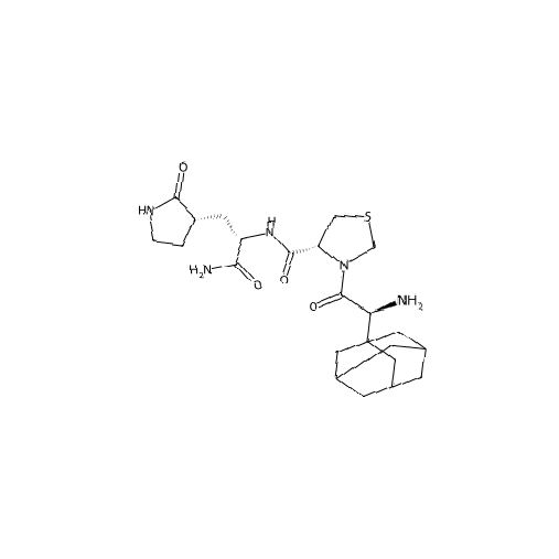 NC(=O)[C@H](C[C@@H]1CCNC1=O)NC(=O)[C@@H]1CSCN1C(=O)[C@@H](N)C12CC3CC(CC(C3)C1)C2